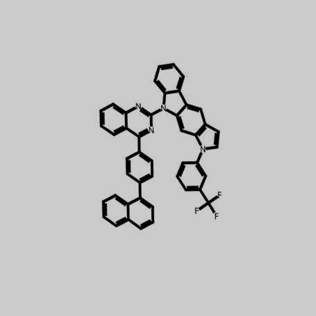 FC(F)(F)c1cccc(-n2ccc3cc4c5ccccc5n(-c5nc(-c6ccc(-c7cccc8ccccc78)cc6)c6ccccc6n5)c4cc32)c1